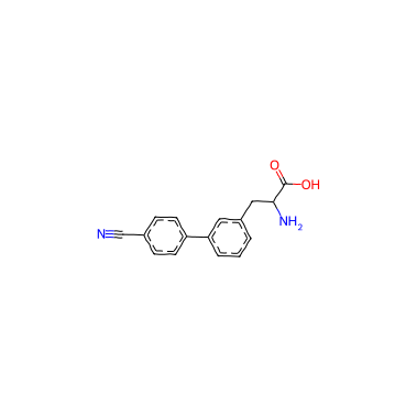 N#Cc1ccc(-c2cccc(CC(N)C(=O)O)c2)cc1